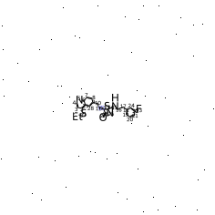 CCSc1ccnc2ccc(C/C=C3\SC(NCCc4cccc(F)c4)=NC3=O)cc12